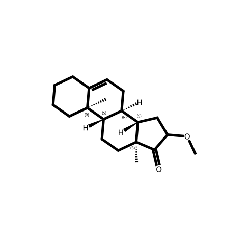 COC1C[C@H]2[C@@H]3CC=C4CCCC[C@]4(C)[C@H]3CC[C@]2(C)C1=O